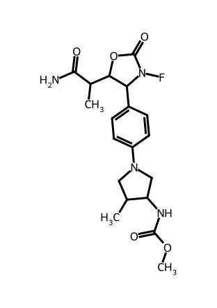 COC(=O)NC1CN(c2ccc(C3C(C(C)C(N)=O)OC(=O)N3F)cc2)CC1C